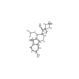 CC(C)CC1c2[nH]c3ccc(Cl)cc3c2CCN1C(=O)C1(F)CNC1